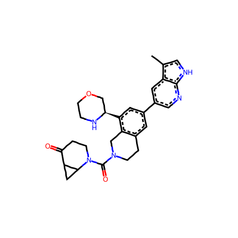 Cc1c[nH]c2ncc(-c3cc4c(c([C@@H]5COCCN5)c3)CN(C(=O)N3CCC(=O)C5CC53)CC4)cc12